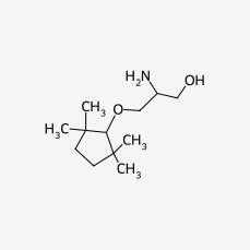 CC1(C)CCC(C)(C)C1OCC(N)CO